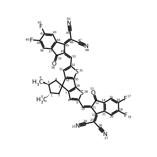 C[C@H]1CC2(C[C@@H]1C)c1cc(/C=C3\C(=O)c4cc(F)c(F)cc4C3=C(C#N)C#N)sc1-c1sc(/C=C3\C(=O)c4cc(F)c(F)cc4C3=C(C#N)C#N)cc12